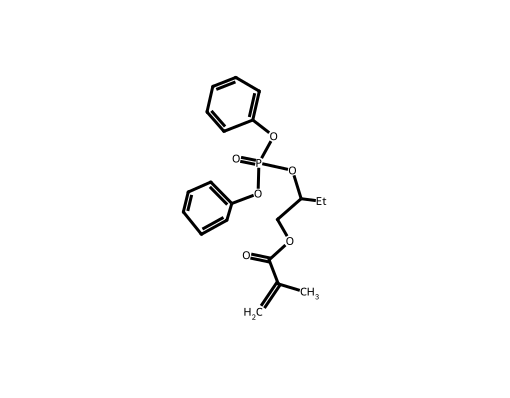 C=C(C)C(=O)OCC(CC)OP(=O)(Oc1ccccc1)Oc1ccccc1